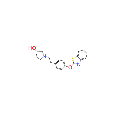 O[C@H]1CCN(CCc2ccc(Oc3nc4ccccc4s3)cc2)C1